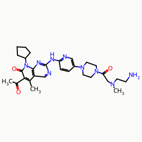 CC(=O)c1c(C)c2cnc(Nc3ccc(N4CCN(C(=O)CN(C)CCN)CC4)cn3)nc2n(C2CCCC2)c1=O